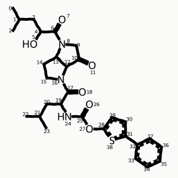 CC(C)CC(O)C(=O)N1CC(=O)C2C1CCN2C(=O)C(CC(C)C)NC(=O)Oc1ccc(-c2ccccc2)s1